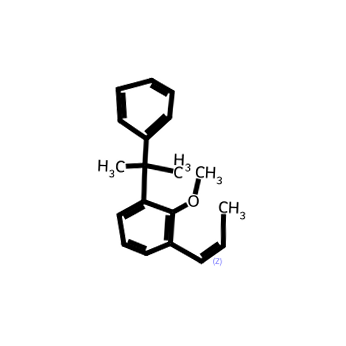 C/C=C\c1cccc(C(C)(C)c2ccccc2)c1OC